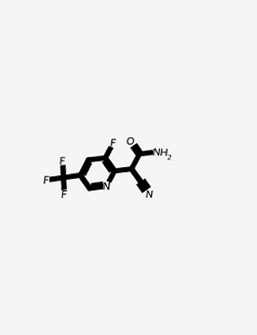 N#CC(C(N)=O)c1ncc(C(F)(F)F)cc1F